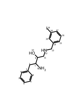 NC(Cc1ccccc1)C(O)CNCc1cccc(I)c1